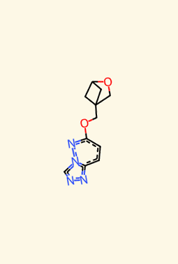 c1cc2nncn2nc1OCC12COC(C1)C2